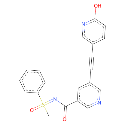 CS(=O)(=NC(=O)c1cncc(C#Cc2ccc(O)nc2)c1)c1ccccc1